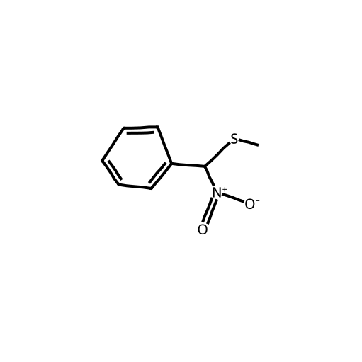 CSC(c1ccccc1)[N+](=O)[O-]